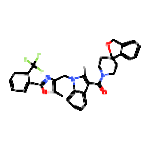 Cc1oc(-c2ccccc2C(F)(F)F)nc1Cn1c(C)c(C(=O)N2CCC3(CC2)OCc2ccccc23)c2ccccc21